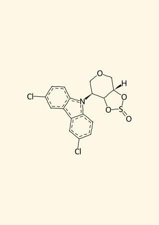 O=S1OC2[C@H](COC[C@@H]2n2c3ccc(Cl)cc3c3cc(Cl)ccc32)O1